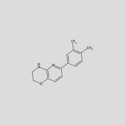 Cc1ccc(-c2ccc3c(n2)NCCO3)cc1C(F)(F)F